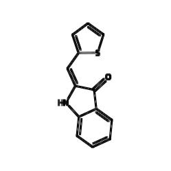 O=C1C(=Cc2cccs2)Nc2ccccc21